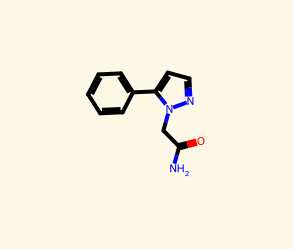 NC(=O)Cn1nccc1-c1ccccc1